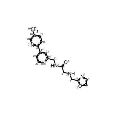 O=C(CNCc1ncco1)NCc1cc(-c2ccc(C(F)(F)F)cn2)ccn1